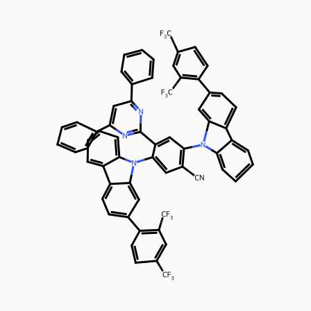 N#Cc1cc(-n2c3ccccc3c3ccc(-c4ccc(C(F)(F)F)cc4C(F)(F)F)cc32)c(-c2nc(-c3ccccc3)cc(-c3ccccc3)n2)cc1-n1c2ccccc2c2ccc(-c3ccc(C(F)(F)F)cc3C(F)(F)F)cc21